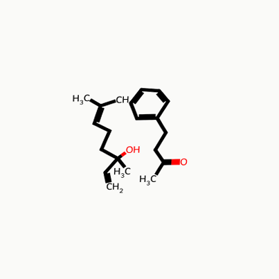 C=CC(C)(O)CCC=C(C)C.CC(=O)CCc1ccccc1